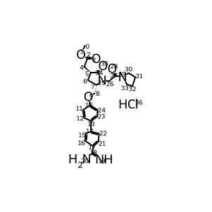 COC(=O)C[C@@H]1C[C@@H](COc2ccc(-c3ccc(C(=N)N)cc3)cc2)N(CC(=O)N2CCCC2)C1=O.Cl